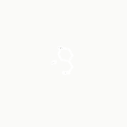 Cl.O=CCC1CCNCC1